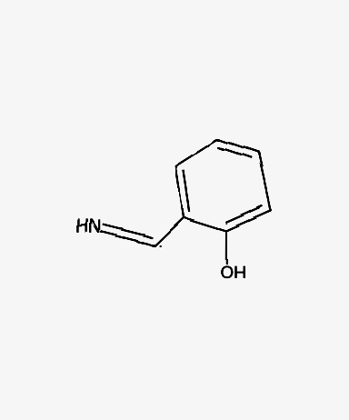 N=[C]c1ccccc1O